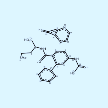 CSCCC(NC(=O)c1ccc(NC(=S)S)cc1-c1ccccc1)C(=O)O.S=c1c2cccnc12